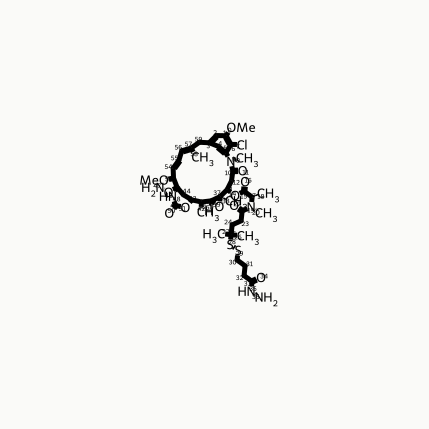 COc1cc2cc(c1Cl)N(C)C(=O)CC(OC(=O)[C@H](C)N(C)C(=O)CCC(C)(C)SSCCCC(=O)NN)[C@@]1(C)O[C@@H]1C(C)C1CC(ON)(NC(=O)O1)C(OC)/C=C/C=C(\C)C2